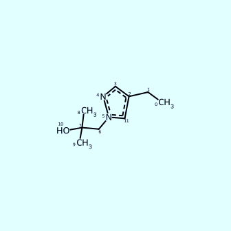 CCc1cnn(CC(C)(C)O)c1